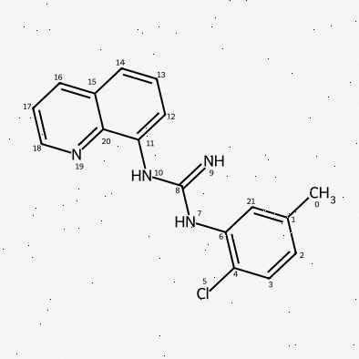 Cc1ccc(Cl)c(NC(=N)Nc2cccc3cccnc23)c1